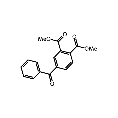 COC(=O)c1ccc(C(=O)c2ccccc2)cc1C(=O)OC